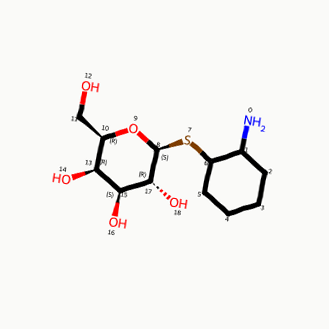 NC1CCCCC1S[C@@H]1O[C@H](CO)[C@H](O)[C@H](O)[C@H]1O